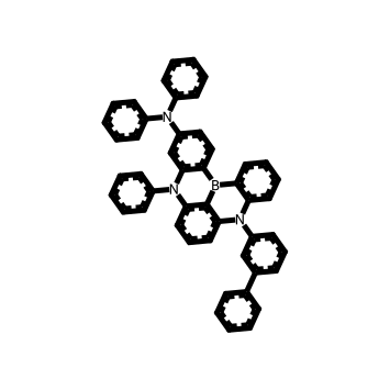 c1ccc(-c2cccc(N3c4ccccc4B4c5ccc(N(c6ccccc6)c6ccccc6)cc5N(c5ccccc5)c5cccc3c54)c2)cc1